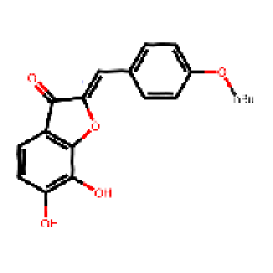 CCCCOc1ccc(/C=C2\Oc3c(ccc(O)c3O)C2=O)cc1